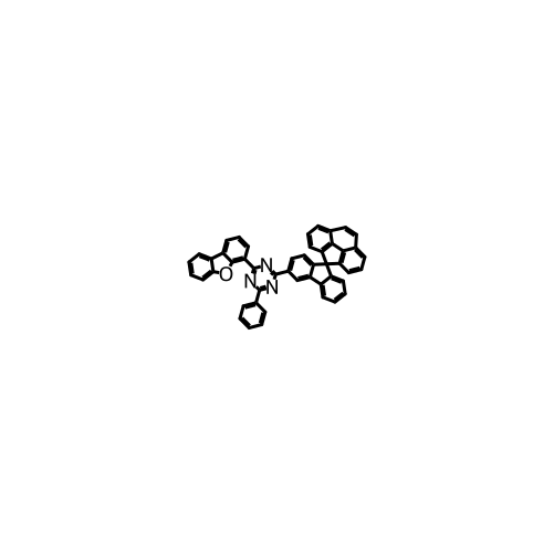 c1ccc(-c2nc(-c3ccc4c(c3)-c3ccccc3C43c4cccc5ccc6cccc3c6c45)nc(-c3cccc4c3oc3ccccc34)n2)cc1